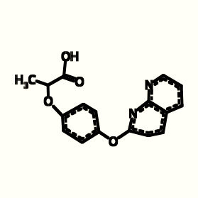 CC(Oc1ccc(Oc2ccc3cccnc3n2)cc1)C(=O)O